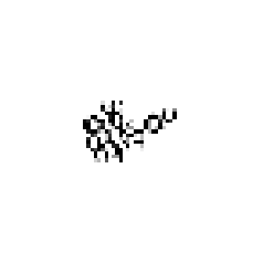 COc1ccc(CSC2=NC(c3ccccc3[N+](=O)[O-])C(C(=O)O)=C(C)N2)cc1